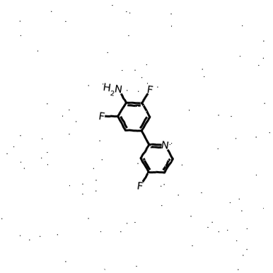 Nc1c(F)cc(-c2cc(F)ccn2)cc1F